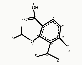 CC(C)Oc1c(C(=O)O)ccc(F)c1C(C)C